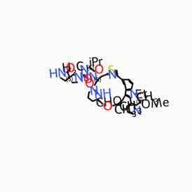 CCn1c(-c2cccnc2[C@H](C)OC)c2c3cc(ccc31)-c1csc(n1)C[C@H](NC(=O)[C@H](C(C)C)N(C)C(=O)N1CC[C@@]3(CCNC3=O)C1)C(=O)N1CCCC(C=O)(COCC(C)(C)C2)N1